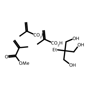 C=C(C)C(=O)O.C=C(C)C(=O)O.C=C(C)C(=O)OC.CCC(CO)(CO)CO